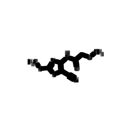 COCC(=O)Nc1nc(SC)sc1C#N